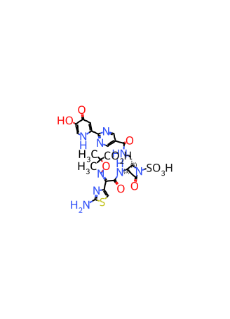 CC(C)(ON=C(C(=O)N[C@@H]1C(=O)N(S(=O)(=O)O)[C@H]1CNC(=O)c1cnc(-c2cc(=O)c(O)c[nH]2)nc1)c1csc(N)n1)C(=O)O